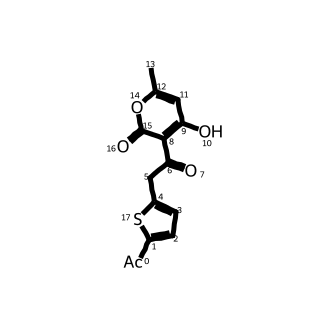 CC(=O)c1ccc(CC(=O)c2c(O)cc(C)oc2=O)s1